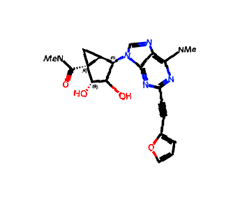 CNC(=O)[C@]12CC1[C@@H](n1cnc3c(NC)nc(C#Cc4ccco4)nc31)C(O)[C@@H]2O